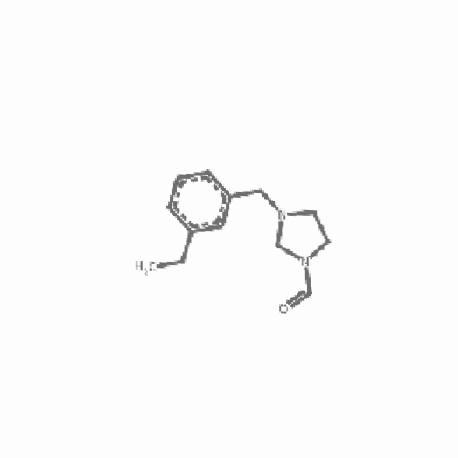 CCc1cccc(CN2CCN(C=O)C2)c1